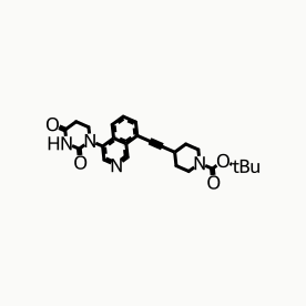 CC(C)(C)OC(=O)N1CCC(C#Cc2cccc3c(N4CCC(=O)NC4=O)cncc23)CC1